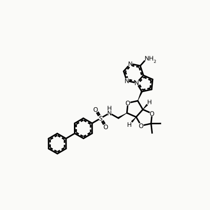 CC1(C)O[C@@H]2[C@H](O1)[C@@H](CNS(=O)(=O)c1ccc(-c3ccccc3)cc1)O[C@H]2c1ccc2c(N)ncnn12